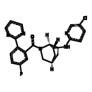 O=C(c1cc(F)ccc1-c1ncccn1)N1C[C@@H]2CC[C@H]1[C@H](Nc1ccc(Cl)cn1)C2